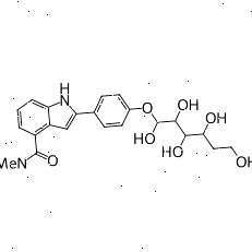 CNC(=O)c1cccc2[nH]c(-c3ccc(OC(O)C(O)C(O)C(O)CCO)cc3)cc12